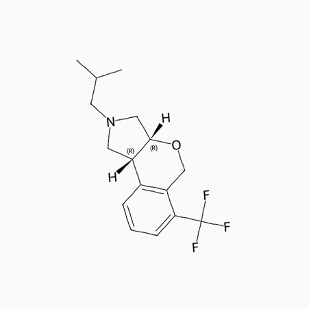 CC(C)CN1C[C@@H]2OCc3c(cccc3C(F)(F)F)[C@@H]2C1